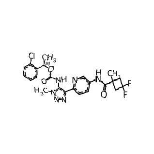 C[C@@H](OC(=O)Nc1c(-c2ccc(NC(=O)C3(C)CC(F)(F)C3)cn2)nnn1C)c1ccccc1Cl